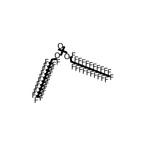 FC(CC(F)(F)C(F)(F)C(F)(F)C(F)(F)C(F)(F)C(F)(F)C(F)(F)C(F)(F)C(F)(F)C(F)(F)F)OCC1(COC(F)CC(F)(F)C(F)(F)C(F)(F)C(F)(F)C(F)(F)C(F)(F)C(F)(F)C(F)(F)C(F)(F)C(F)(F)F)COC1